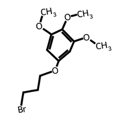 COc1cc(OCCCBr)cc(OC)c1OC